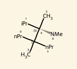 CCCC(C)(CCC)[C@@](C)(NC)C(C)C